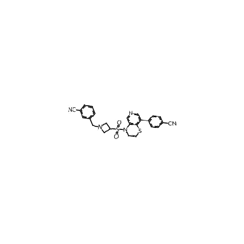 N#Cc1ccc(-c2cncc3c2SCCN3S(=O)(=O)C2CN(Cc3cccc(C#N)c3)C2)cc1